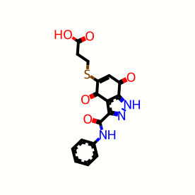 O=C(O)CCSC1=CC(=O)c2[nH]nc(C(=O)Nc3ccccc3)c2C1=O